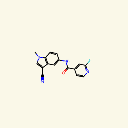 Cn1cc(C#N)c2cc(NC(=O)c3ccnc(F)c3)ccc21